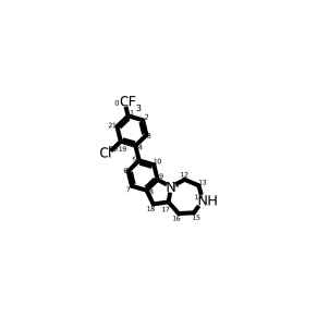 FC(F)(F)c1ccc(-c2ccc3c(c2)N2CCNCCC2C3)c(Cl)c1